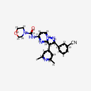 Cc1cc(-c2c(-c3cccc(C#N)c3)nn3ccc(NC(=O)N4CCOCC4)nc23)cc(C)n1